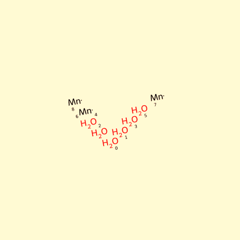 O.O.O.O.O.O.[Mn].[Mn].[Mn]